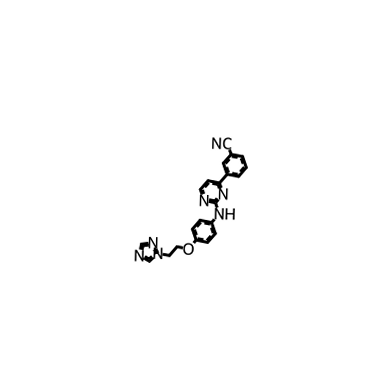 N#Cc1cccc(-c2ccnc(Nc3ccc(OCCn4cncn4)cc3)n2)c1